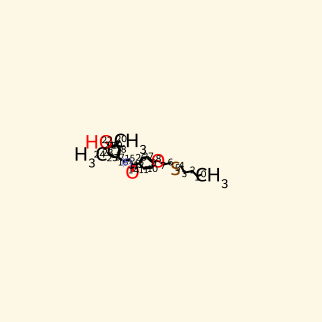 CCCCCSCCOc1ccc(C(=O)/C=C/c2cc(C)c(O)c(C)c2)cc1